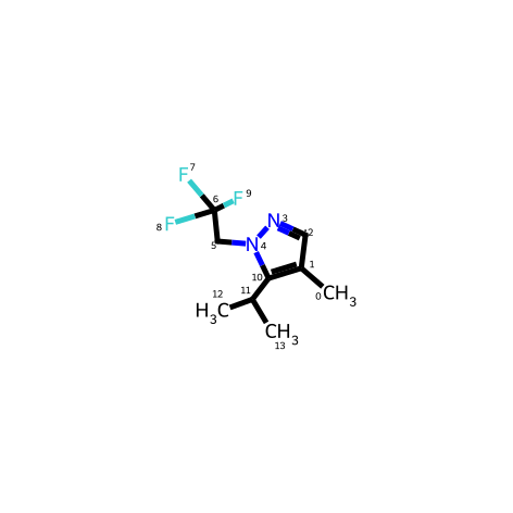 Cc1[c]nn(CC(F)(F)F)c1C(C)C